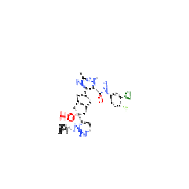 Cc1nc(C2CC3CC(O)(c4ccnn4C(C)C)CC3C2)c(C(=O)Nc2ccc(F)c(Cl)c2)n1C